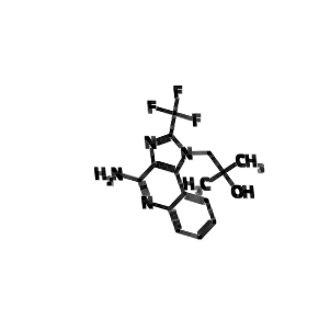 CC(C)(O)Cn1c(C(F)(F)F)nc2c(N)nc3ccccc3c21